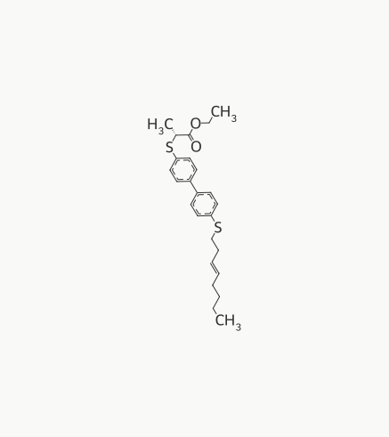 CCCCC=CCCSc1ccc(-c2ccc(S[C@H](C)C(=O)OCC)cc2)cc1